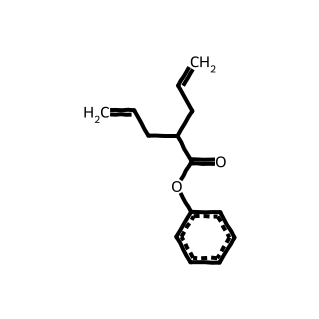 C=CCC(CC=C)C(=O)Oc1ccccc1